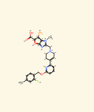 Cc1ccc(COc2cccc(C3=CCN(Cc4nc5oc(C(=O)O)c(P)c5n4C)CC3)n2)c(F)c1